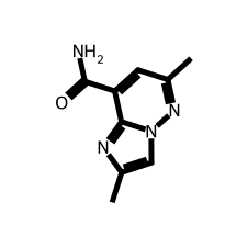 Cc1cn2nc(C)cc(C(N)=O)c2n1